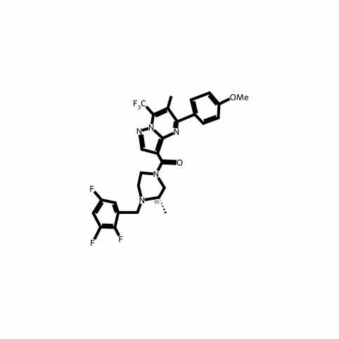 COc1ccc(-c2nc3c(C(=O)N4CCN(Cc5cc(F)cc(F)c5F)[C@@H](C)C4)cnn3c(C(F)(F)F)c2C)cc1